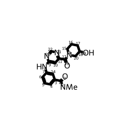 CNC(=O)c1cccc(Nc2cc(C(=O)N3CCCC(O)C3)ncn2)c1